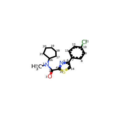 CN(C(=O)c1nc(-c2ccc(Cl)cc2)cs1)C1CCCCC1